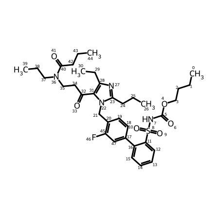 CCCCOC(=O)NS(=O)(=O)c1ccccc1-c1ccc(Cn2c(CCC)nc(CC)c2C(=O)CCN(CCC)C(=O)CCC)c(F)c1